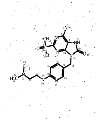 CC[P@](C)(=O)c1nc(N)c2[nH]c(=O)n(Cc3ccc(NCCN(C)C)nc3)c2n1